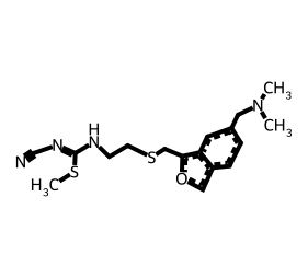 CSC(=NC#N)NCCSCc1occ2ccc(CN(C)C)cc12